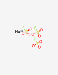 O=S(=O)([O-])F.O=S(=O)([O-])F.O=S(=O)([O-])F.[Ho+3]